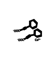 O=C([O-])C#Cc1ccccc1.O=C([O-])C#Cc1ccccc1.[Ca+2]